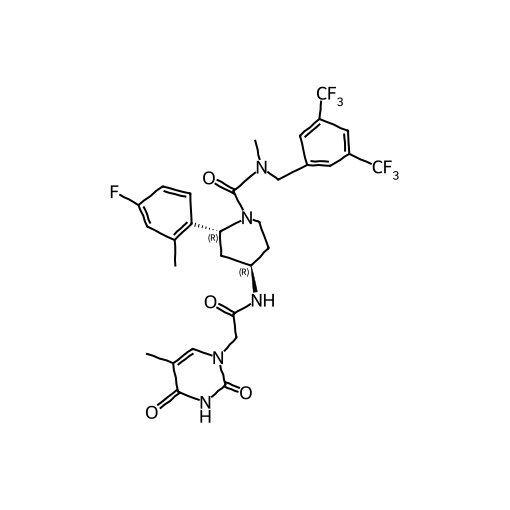 Cc1cc(F)ccc1[C@H]1C[C@H](NC(=O)Cn2cc(C)c(=O)[nH]c2=O)CCN1C(=O)N(C)Cc1cc(C(F)(F)F)cc(C(F)(F)F)c1